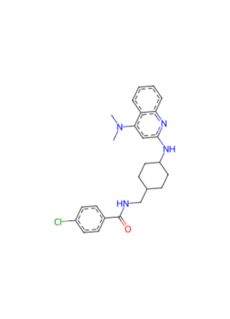 CN(C)c1cc(NC2CCC(CNC(=O)c3ccc(Cl)cc3)CC2)nc2ccccc12